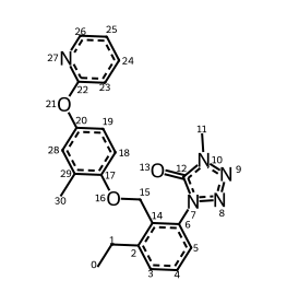 CCc1cccc(-n2nnn(C)c2=O)c1COc1ccc(Oc2ccccn2)cc1C